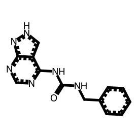 O=C(NCc1ccccc1)Nc1ncnc2n[nH]cc12